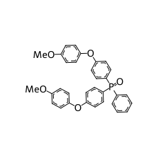 COc1ccc(Oc2ccc(P(=O)(c3ccccc3)c3ccc(Oc4ccc(OC)cc4)cc3)cc2)cc1